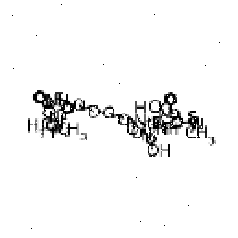 Cc1ncsc1-c1ccc([C@H](CN2C(=O)c3ccccc3C2=O)NC(=O)[C@@H]2C[C@@H](O)CN2C(=O)[C@@H](NC(=O)COCCOCCOCCOc2cc(F)c([C@@H]3c4[nH]c5ccccc5c4C[C@@H](C)N3CC(C)(C)F)c(F)c2)C(C)(C)C)cc1